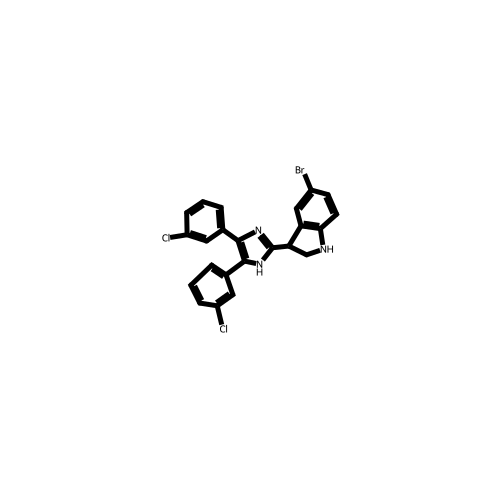 Clc1cccc(-c2nc(C3CNc4ccc(Br)cc43)[nH]c2-c2cccc(Cl)c2)c1